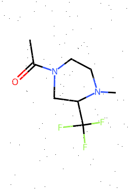 CC(=O)N1CCN(C)C(C(F)(F)F)C1